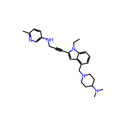 CCn1c(C#CCNc2ccc(C)nc2)cc2c(CN3CCC(N(C)C)CC3)cccc21